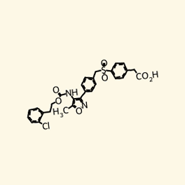 Cc1onc(-c2ccc(CS(=O)(=O)c3ccc(CC(=O)O)cc3)cc2)c1NC(=O)OCCc1ccccc1Cl